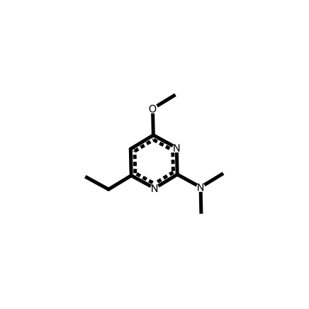 CCc1cc(OC)nc(N(C)C)n1